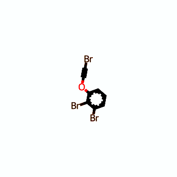 BrC#COc1cccc(Br)c1Br